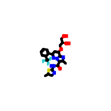 Cc1nc2c(OC[C@H](O)CO)cc(-c3ccccc3C(F)(F)F)nn2c1C(=O)NC1=NCC(C)S1